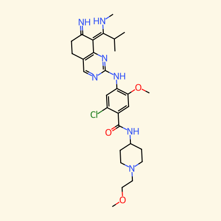 CN/C(=C1\C(=N)CCc2cnc(Nc3cc(Cl)c(C(=O)NC4CCN(CCOC)CC4)cc3OC)nc21)C(C)C